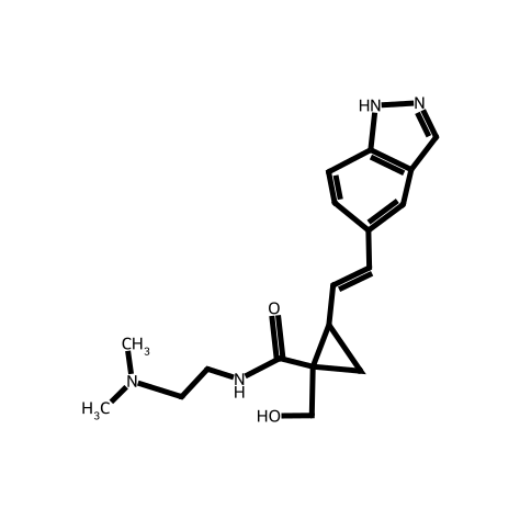 CN(C)CCNC(=O)C1(CO)CC1C=Cc1ccc2[nH]ncc2c1